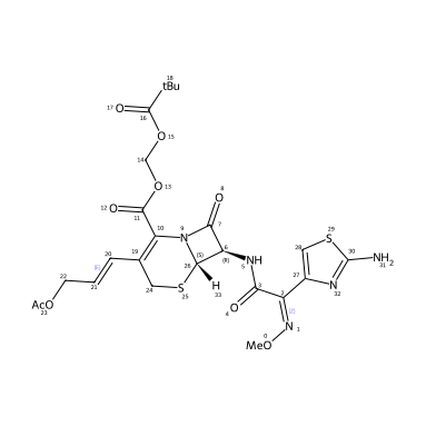 CO/N=C(\C(=O)N[C@@H]1C(=O)N2C(C(=O)OCOC(=O)C(C)(C)C)=C(/C=C/COC(C)=O)CS[C@@H]12)c1csc(N)n1